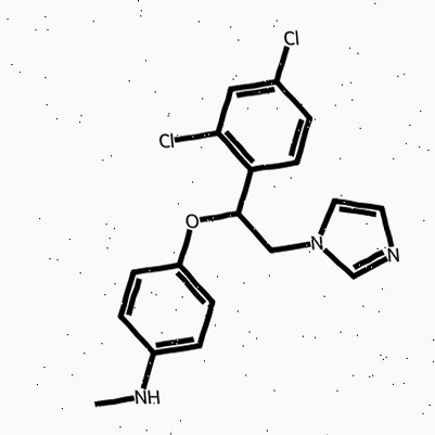 CNc1ccc(OC(Cn2ccnc2)c2ccc(Cl)cc2Cl)cc1